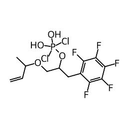 C=CC(C)OCC(Cc1c(F)c(F)c(F)c(F)c1F)OP(O)(O)(Cl)Cl